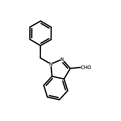 O=Cc1nn(Cc2ccccc2)c2ccccc12